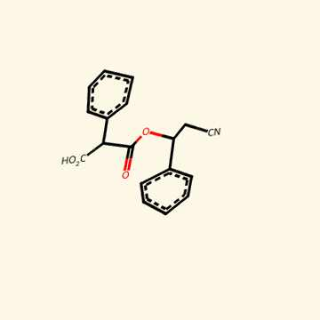 N#CCC(OC(=O)C(C(=O)O)c1ccccc1)c1ccccc1